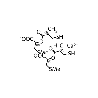 CSC[C@H](OC(=O)[C@H](C)CS)C(=O)[O-].CSC[C@H](OC(=O)[C@H](C)CS)C(=O)[O-].[Ca+2]